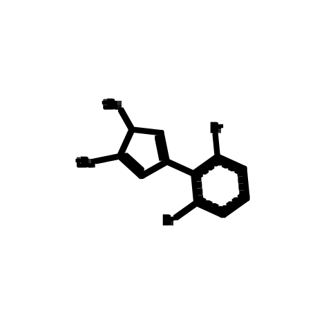 CC(C)(C)C1=CC(c2c(Br)cccc2Br)=CC1C(C)(C)C